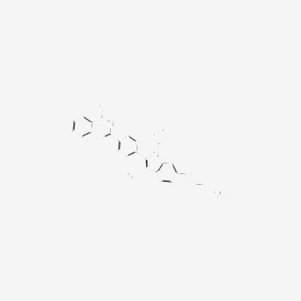 COCCOc1ccc2c(C#N)c(-c3ccc(C(=O)NC(C)c4ccccc4)cc3)n(C3CCC3)c2c1